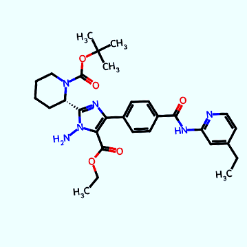 CCOC(=O)c1c(-c2ccc(C(=O)Nc3cc(CC)ccn3)cc2)nc([C@@H]2CCCCN2C(=O)OC(C)(C)C)n1N